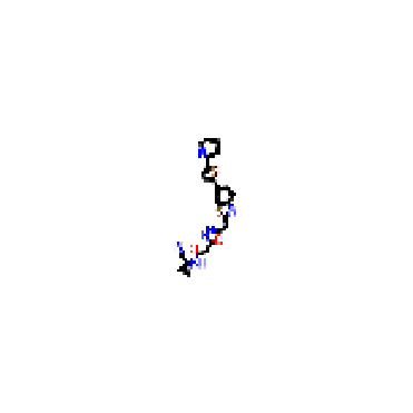 N#CC1(NC(=O)Cc2nnc(Cc3nc4ccc(-c5ccc(-c6ccccn6)s5)cc4s3)o2)CC1